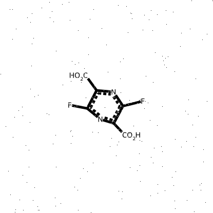 O=C(O)c1nc(F)c(C(=O)O)nc1F